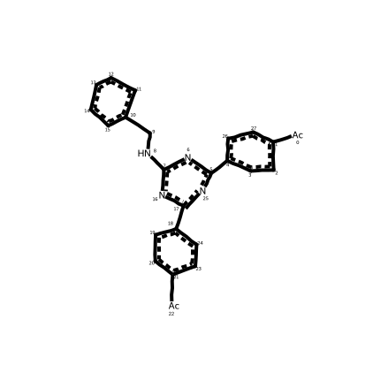 CC(=O)c1ccc(-c2nc(NCc3ccccc3)nc(-c3ccc(C(C)=O)cc3)n2)cc1